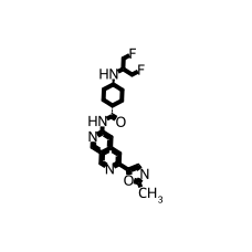 Cc1ncc(-c2cc3cc(NC(=O)[C@H]4CC[C@H](NC(CF)CF)CC4)ncc3cn2)o1